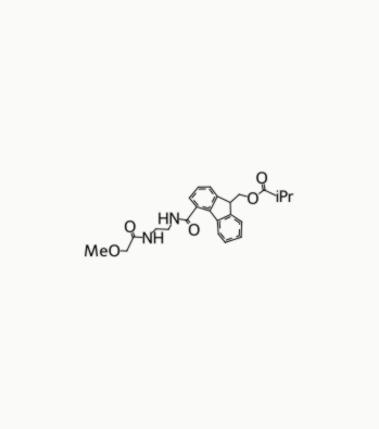 COCC(=O)NCCNC(=O)c1cccc2c1-c1ccccc1C2COC(=O)C(C)C